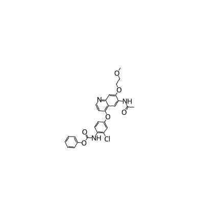 COCCOc1cc2nccc(Oc3ccc(NC(=O)Oc4ccccc4)c(Cl)c3)c2cc1NC(C)=O